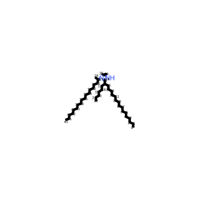 CCCCCCCCCCCCCCCCC(CCCCCC)c1[nH]cc[n+]1C(C)CCCCCCCCCCCCCCCC